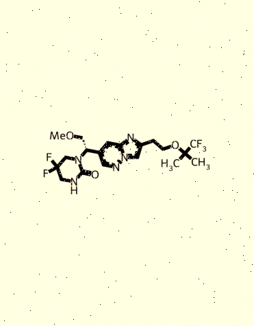 COC[C@H](c1cnn2cc(CCOC(C)(C)C(F)(F)F)nc2c1)N1CC(F)(F)CNC1=O